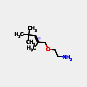 C/C(=C\C(C)(C)C)COCCN